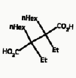 CCCCCCC(CC)(C(=O)O)C(CC)(CCCCCC)C(=O)O